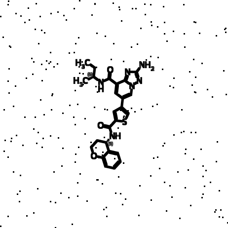 CC[C@H](C)NC(=O)c1cc(-c2csc(C(=O)N[C@H]3CCOc4ccccc43)c2)cn2nc(N)nc12